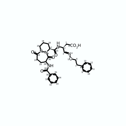 O=C(O)C[C@@H](/C=N/OCCc1ccccc1)NC(=O)[C@@H]1CCCN2C(=O)CCC(NC(=O)c3ccccc3)C(=O)N12